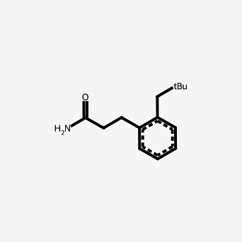 CC(C)(C)Cc1ccccc1CCC(N)=O